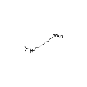 C=C(C)CN(C)CCCCCCCCCCCCCCCCCC